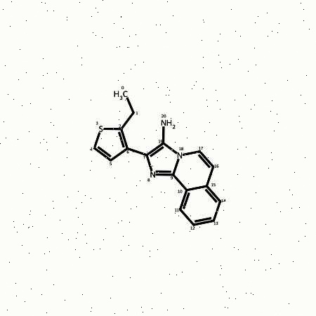 CCc1sccc1-c1nc2c3ccccc3ccn2c1N